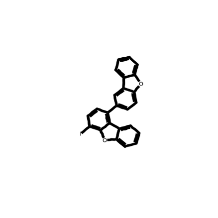 Ic1ccc(-c2ccc3oc4ccccc4c3c2)c2c1oc1ccccc12